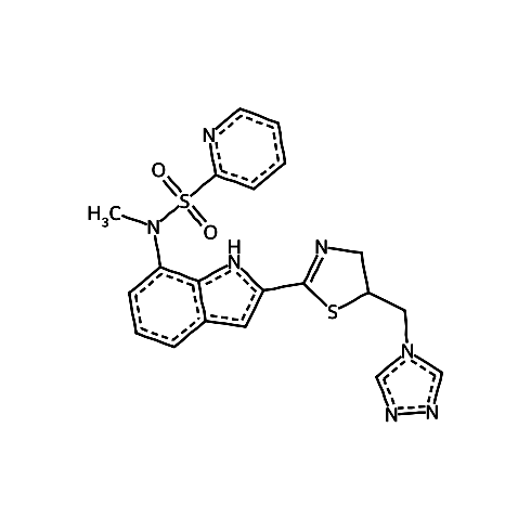 CN(c1cccc2cc(C3=NCC(Cn4cnnc4)S3)[nH]c12)S(=O)(=O)c1ccccn1